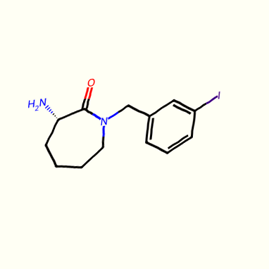 N[C@H]1CCCCN(Cc2cccc(I)c2)C1=O